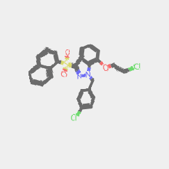 O=S(=O)(c1cccc2ccccc12)c1nn(Cc2ccc(Cl)cc2)c2c(OCCCl)cccc12